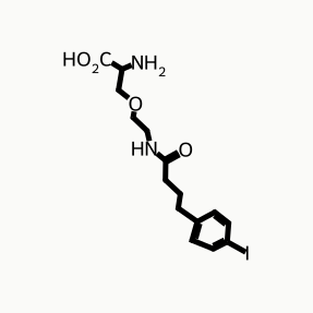 NC(COCCNC(=O)CCCc1ccc(I)cc1)C(=O)O